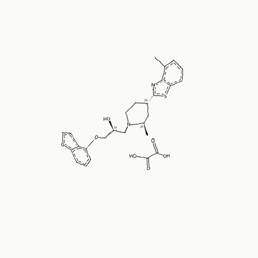 Cc1cccc2sc([C@H]3CCN(C[C@H](O)COc4cccc5occc45)[C@H](C)C3)nc12.O=C(O)C(=O)O